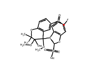 COC1(N2c3ccc(F)cc3OC2S(=O)(=O)O)c2cc([N+](=O)[O-])ccc2OC(C)(C)C1(O)OC